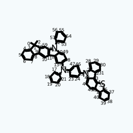 CC1(C)c2ccccc2-c2cc3c4cc(N(c5ccccc5)c5ccc(-n6c7ccccc7c7c8sc9ccccc9c8ccc76)cc5)ccc4n(-c4ccccc4)c3cc21